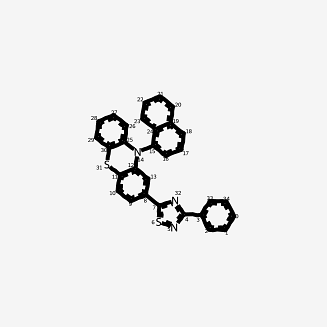 c1ccc(-c2nsc(-c3ccc4c(c3)N(c3cccc5ccccc35)c3ccccc3S4)n2)cc1